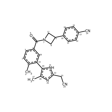 Cc1ccc(C(=O)N2CC(c3ccc(C#N)cc3)C2)cc1-c1[nH]c(CC#N)nc1C